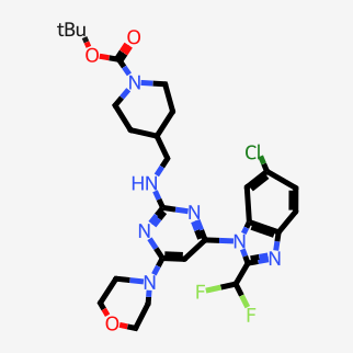 CC(C)(C)OC(=O)N1CCC(CNc2nc(N3CCOCC3)cc(-n3c(C(F)F)nc4ccc(Cl)cc43)n2)CC1